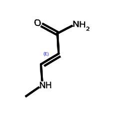 CN/C=C/C(N)=O